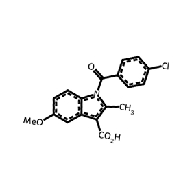 COc1ccc2c(c1)c(C(=O)O)c(C)n2C(=O)c1ccc(Cl)cc1